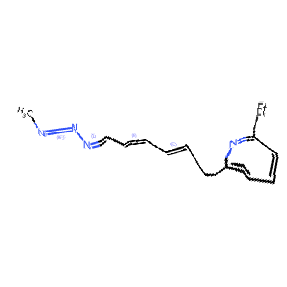 CCc1cccc(C/C=C/C=C/C=N/N=N/C)n1